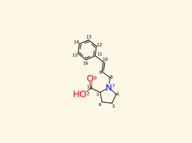 O=C(O)C1CCCN1C/C=C/c1ccccc1